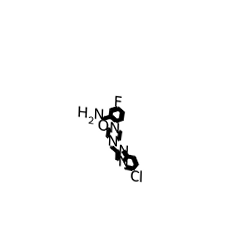 NC(=O)c1cc(F)ccc1N1CCN(Cc2cn3cc(Cl)ccc3n2)CC1